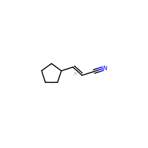 N#C/C=C/C1CCCC1